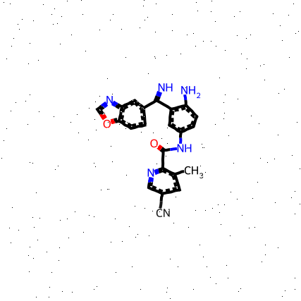 Cc1cc(C#N)cnc1C(=O)Nc1ccc(N)c(C(=N)c2ccc3ocnc3c2)c1